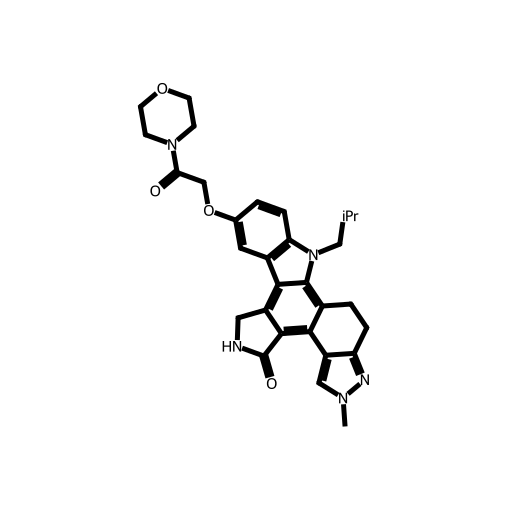 CC(C)Cn1c2ccc(OCC(=O)N3CCOCC3)cc2c2c3c(c4c(c21)CCc1nn(C)cc1-4)C(=O)NC3